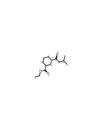 CCOC(=O)C1CCCN(C(=O)CC(C)C)C1